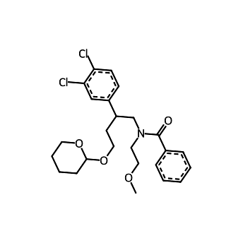 COCCN(CC(CCOC1CCCCO1)c1ccc(Cl)c(Cl)c1)C(=O)c1ccccc1